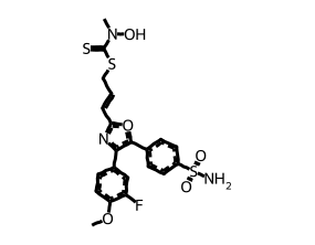 COc1ccc(-c2nc(C=CCSC(=S)N(C)O)oc2-c2ccc(S(N)(=O)=O)cc2)cc1F